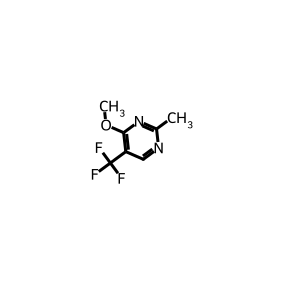 COc1nc(C)ncc1C(F)(F)F